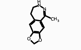 CC1=NNCCc2cc3c(cc21)OCO3